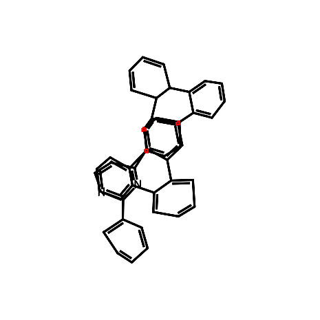 C1=CC2c3ccccc3-c3ccc(-c4ccccc4-c4ccccc4-c4ccccc4-c4ccnc(-c5ccccc5)n4)cc3C2C=C1